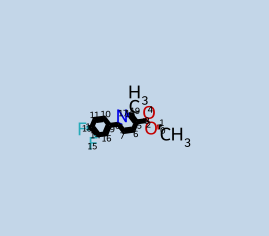 CCOC(=O)c1ccc(-c2ccc(F)c(F)c2)nc1C